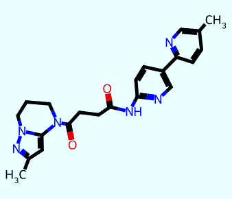 Cc1ccc(-c2ccc(NC(=O)CCC(=O)N3CCCn4nc(C)cc43)nc2)nc1